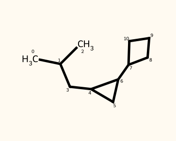 CC(C)C[C]1CC1C1CCC1